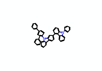 c1ccc(-c2ccc(-n3c4ccccc4c4ccc(-c5cccc6c5c5ccccc5n6-c5ccccc5)cc43)c(-c3ccccc3)c2)cc1